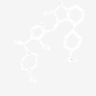 COc1ccc(-c2cccc3c2C(=Cc2[nH]cc(C(=O)N4CCN(C)CC4)c2C)C(=O)N3)cc1